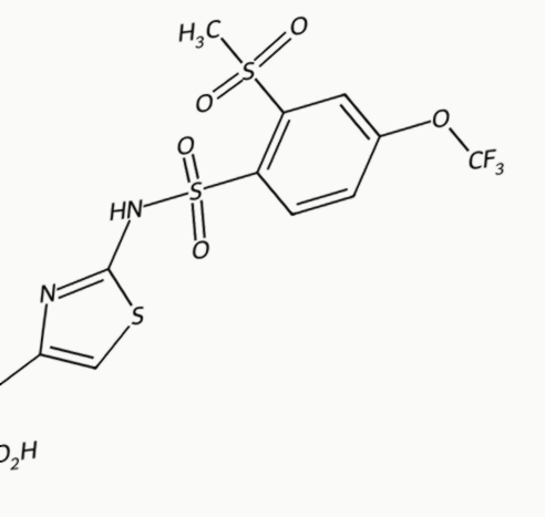 CS(=O)(=O)c1cc(OC(F)(F)F)ccc1S(=O)(=O)Nc1nc(CC(=O)O)cs1